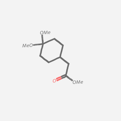 COC(=O)CC1CCC(OC)(OC)CC1